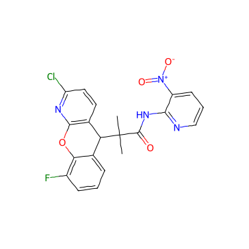 CC(C)(C(=O)Nc1ncccc1[N+](=O)[O-])C1c2ccc(Cl)nc2Oc2c(F)cccc21